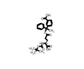 CC(C)(C)OC(=O)N[C@@H](CCC(=O)OC(C)(c1ccccc1)c1cccc(C(=O)O)c1)C(=O)O